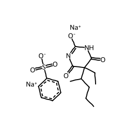 CCCC(C)C1(CC)C(=O)N=C([O-])NC1=O.O=S(=O)([O-])c1ccccc1.[Na+].[Na+]